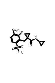 CS(=O)(=O)c1ccc(C(=O)O)c(Cl)c1CC1(C(=O)NC2CC2)CC1